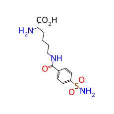 N[C@@H](CCCCNC(=O)c1ccc(S(N)(=O)=O)cc1)C(=O)O